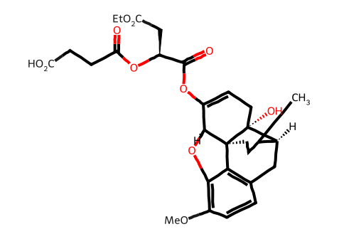 CCOC(=O)C[C@H](OC(=O)CCC(=O)O)C(=O)OC1=CC[C@@]2(O)[C@H]3Cc4ccc(OC)c5c4[C@@]2(CCC3C)[C@H]1O5